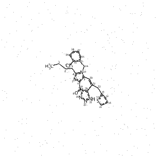 CCCCc1nc(C=O)c(/C=C(/Cc2cccs2)c2nnn[nH]2)n1Cc1ccccc1Cl